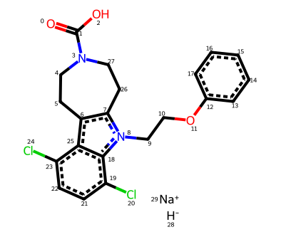 O=C(O)N1CCc2c(n(CCOc3ccccc3)c3c(Cl)ccc(Cl)c23)CC1.[H-].[Na+]